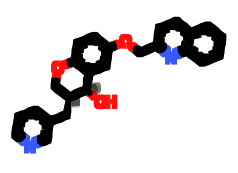 O[C@@H]1c2cc(OCc3ccc4ccccc4n3)ccc2OC[C@@H]1Cc1cccnc1